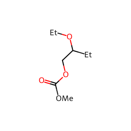 CCOC(CC)COC(=O)OC